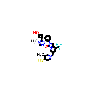 C[C@@H]1CN(Cc2cc(C(F)(F)F)c3cn(-c4cccc([C@]5(c6nncn6C)C[C@@H](O)C5)c4)c(=O)n3c2)CCC1S